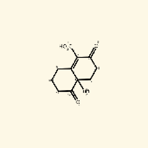 CCCC12CCC(=O)C(C(=O)O)=C1CCCC2=O